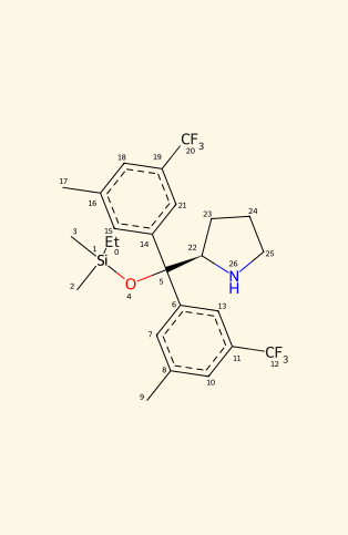 CC[Si](C)(C)OC(c1cc(C)cc(C(F)(F)F)c1)(c1cc(C)cc(C(F)(F)F)c1)[C@H]1CCCN1